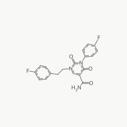 NC(=O)c1cn(CCc2ccc(F)cc2)c(=O)n(-c2ccc(F)cc2)c1=O